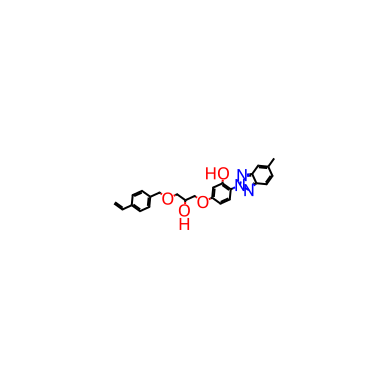 C=Cc1ccc(COCC(O)COc2ccc(-n3nc4ccc(C)cc4n3)c(O)c2)cc1